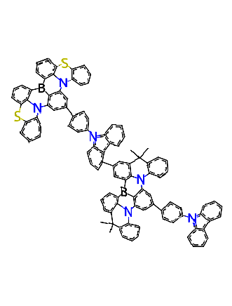 CC1(C)c2ccccc2N2c3cc(-c4ccc(-n5c6ccccc6c6ccccc65)cc4)cc4c3B(c3cccc1c32)c1cc(-c2cccc3c2c2ccccc2n3-c2ccc(-c3cc5c6c(c3)N3c7ccccc7Sc7cccc(c73)B6c3cccc6c3N5c3ccccc3S6)cc2)cc2c1N4c1ccccc1C2(C)C